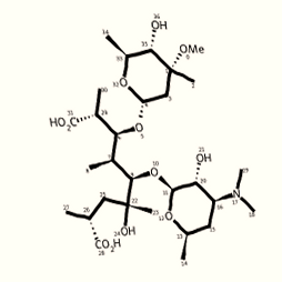 CO[C@]1(C)C[C@H](O[C@@H]([C@H](C)[C@@H](O[C@@H]2O[C@H](C)C[C@H](N(C)C)[C@H]2O)[C@](C)(O)C[C@@H](C)C(=O)O)[C@@H](C)C(=O)O)O[C@@H](C)[C@@H]1O